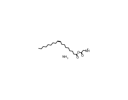 CCCCCCCC/C=C\CCCCCCCC(=O)OC(=O)CNC.N